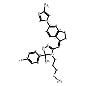 COCCCN1C(/C=C2/CCc3cc(-n4cnc(C)c4)ccc32)=NOC1(C)c1ccc(F)cc1